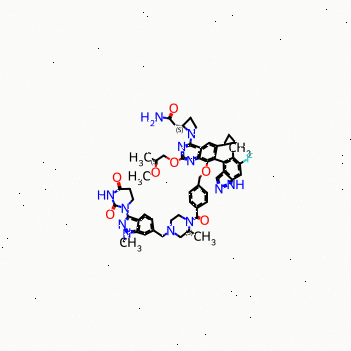 CO[C@@H](C)COc1nc(N2CC[C@H]2CC(N)=O)c2cc(C3CC3)c(-c3c(C)c(F)cc4[nH]ncc34)c(OCc3ccc(C(=O)N4CCN(Cc5ccc6c(N7CCC(=O)NC7=O)nn(C)c6c5)C[C@@H]4C)cc3)c2n1